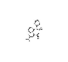 CC(C)C(C)CN1C(=O)CC(=O)N(c2ccccc2)c2ccccc21